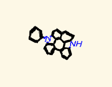 c1ccc(-n2c3cccc4c3c3c5c(ccc6[nH]c7cccc-4c7c65)ccc32)cc1